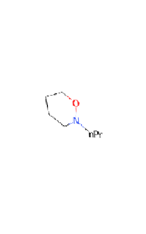 CCCN1CCCCO1